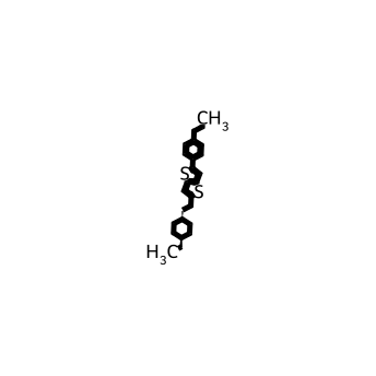 CCCc1ccc(-c2cc3sc(CC[C@H]4CC[C@H](CC)CC4)cc3s2)cc1